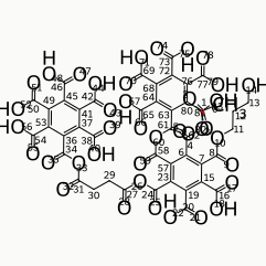 CC(=O)OC(=O)c1c(C(=O)OCCCO)c(C(=O)O)c(C(=O)O)c(C(=O)OC(=O)CCC(=O)OC(=O)c2c(C(=O)O)c(C(=O)O)c(C(=O)O)c(C(=O)O)c2C(=O)O)c1C(=O)OC(=O)c1c(C(=O)O)c(C(=O)O)c(C(=O)O)c(C(=O)O)c1C(=O)O